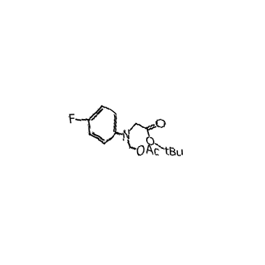 CC(=O)OCN(CC(=O)OC(C)(C)C)c1ccc(F)cc1